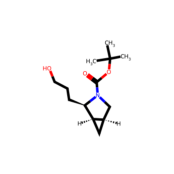 CC(C)(C)OC(=O)N1C[C@H]2C[C@H]2[C@H]1CCCO